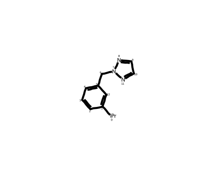 CC(C)c1cccc(Cn2nccn2)c1